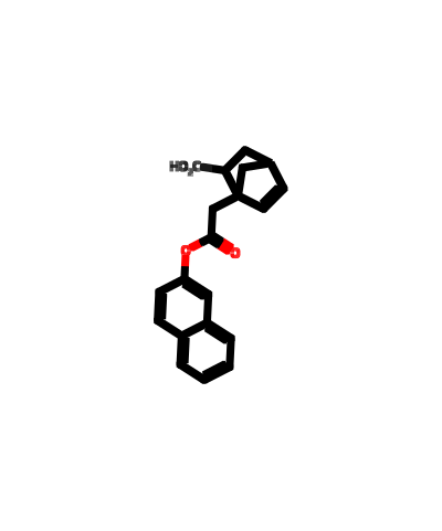 O=C(CC12C=CC(CC1C(=O)O)C2)Oc1ccc2ccccc2c1